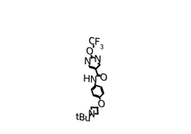 CC(C)(C)N1CC(Oc2ccc(NC(=O)c3cnc(OCC(F)(F)F)nc3)cc2)C1